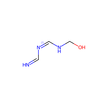 N=C/N=C\NCO